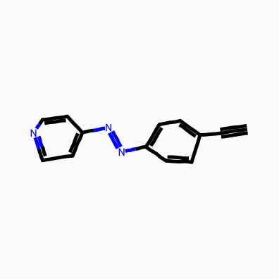 C#Cc1ccc(N=Nc2ccncc2)cc1